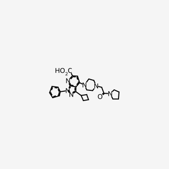 O=C(O)c1cc(N2CCN(CC(=O)N3CCCC3)CC2)c2c(C3CCC3)nn(-c3ccccc3)c2n1